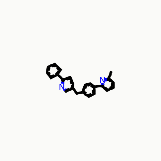 Cc1cccc(-c2ccc(Cc3ccc(-c4ccccc4)nc3)cc2)n1